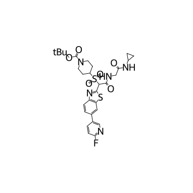 CC(C)(C)OC(=O)N1CCC(S(=O)(=O)C(C(=O)NCC(=O)NC2CC2)c2nc3ccc(-c4ccc(F)nc4)cc3s2)CC1